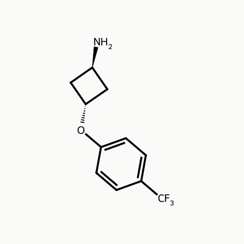 N[C@H]1C[C@H](Oc2ccc(C(F)(F)F)cc2)C1